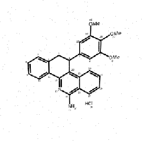 COc1cc(C2Cc3ccccc3-c3nc(N)c4ccccc4c32)cc(OC)c1OC.Cl